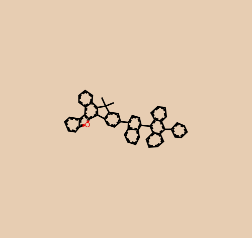 CC1(C)c2cc(-c3ccc(-c4c5ccccc5c(-c5ccccc5)c5ccccc45)c4ccccc34)ccc2-c2c1c1ccccc1c1c2oc2ccccc21